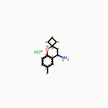 Cc1ccc2c(c1)C(N)CC1(CCC1)O2.Cl